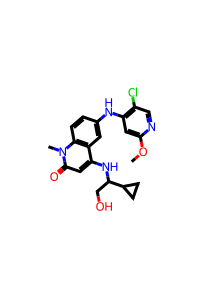 COc1cc(Nc2ccc3c(c2)c(NC(CO)C2CC2)cc(=O)n3C)c(Cl)cn1